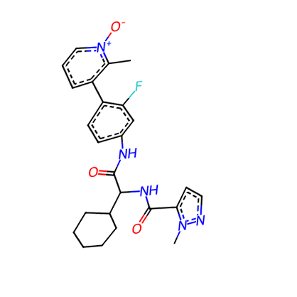 Cc1c(-c2ccc(NC(=O)C(NC(=O)c3ccnn3C)C3CCCCC3)cc2F)ccc[n+]1[O-]